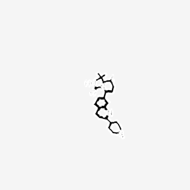 C[C@H]1CC=C(c2ccc3ccc(C4CCN(C)CC4)nc3c2)N(C(=O)O)C1C(C)(C)C